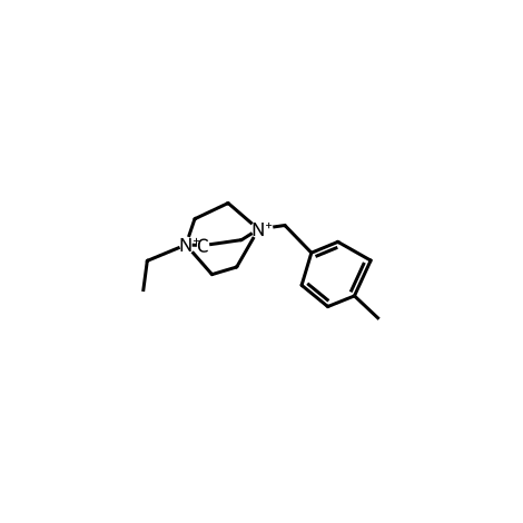 CC[N+]12CC[N+](Cc3ccc(C)cc3)(CC1)CC2